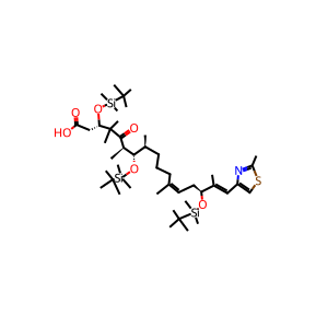 C/C(=C/C[C@H](O[Si](C)(C)C(C)(C)C)/C(C)=C/c1csc(C)n1)CCC[C@H](C)[C@H](O[Si](C)(C)C(C)(C)C)[C@@H](C)C(=O)C(C)(C)[C@H](CC(=O)O)O[Si](C)(C)C(C)(C)C